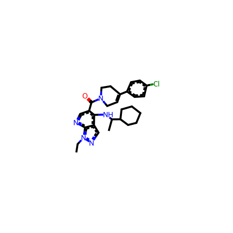 CCn1ncc2c(NC(C)C3CCCCC3)c(C(=O)N3CC=C(c4ccc(Cl)cc4)CC3)cnc21